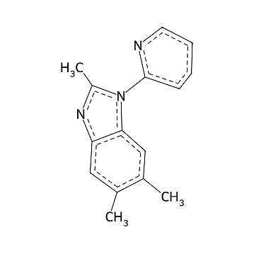 Cc1cc2nc(C)n(-c3ccccn3)c2cc1C